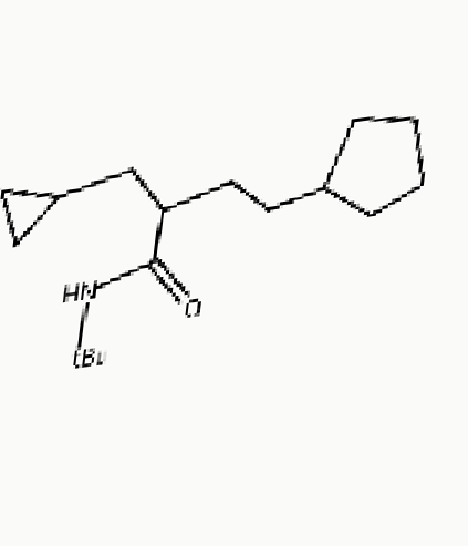 CC(C)(C)NC(=O)C(CCC1CCCC1)CC1CC1